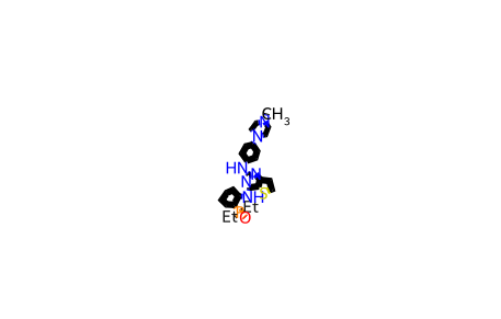 CCP(=O)(CC)c1ccccc1Nc1nc(Nc2ccc(N3CCN(C)CC3)cc2)nc2ccsc12